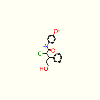 COc1ccc(N(C)C(=O)C(Cl)C(CCO)c2ccccc2)cc1